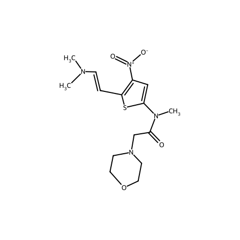 CN(C)C=Cc1sc(N(C)C(=O)CN2CCOCC2)cc1[N+](=O)[O-]